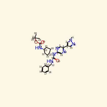 Cn1cc(-c2cnc(N(C(=O)NCc3ccccc3)[C@H]3CC[C@H](NC(=O)OC(C)(C)C)CC3)cn2)cn1